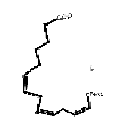 CCCCC/C=C\C/C=C\C/C=C\CCCCC(=O)[O-].[Li+]